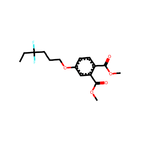 CCC(F)(F)CCCOc1ccc(C(=O)OC)c(C(=O)OC)c1